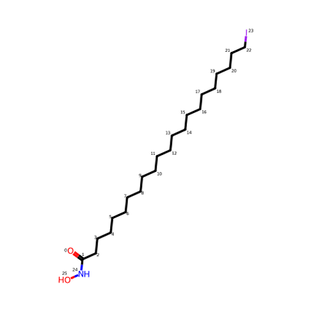 O=C(CCCCCCCCCCCCCCCCCCCCCI)NO